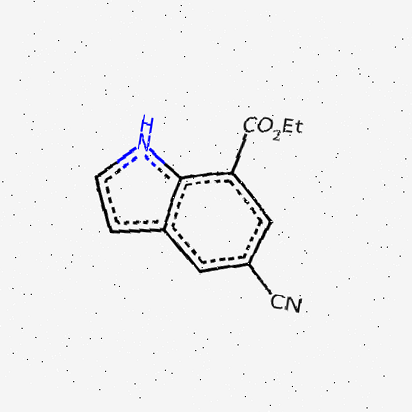 CCOC(=O)c1cc(C#N)cc2cc[nH]c12